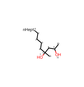 CCCCCCCCCCCC(C)(O)CC(C)O